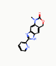 CN1C(=O)OCc2cc3[nH]c(-c4ccccn4)nc3cc21